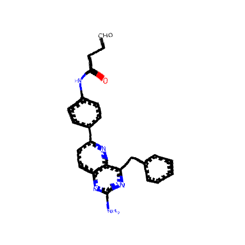 Nc1nc(Cc2ccccc2)c2nc(-c3ccc(NC(=O)CCC=O)cc3)ccc2n1